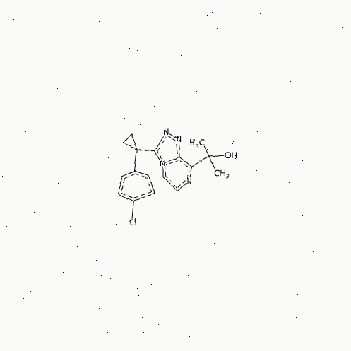 CC(C)(O)c1nccn2c(C3(c4ccc(Cl)cc4)CC3)nnc12